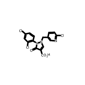 O=C(O)c1cn(Cc2ccc(Cl)nc2)n(-c2ccc(Cl)cc2Cl)c1=O